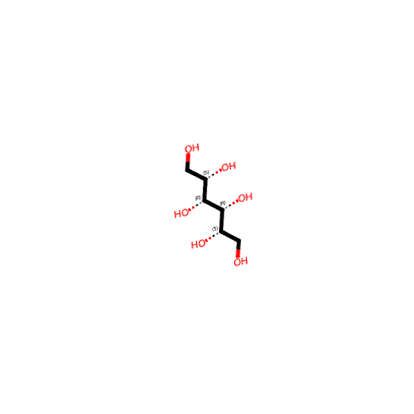 OC[C@H](O)[C@@H](O)[C@H](O)[C@@H](O)CO